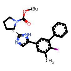 Cc1cc(-c2cnc([C@@H]3CCCN3C(=O)OC(C)(C)C)[nH]2)cc(-c2ccccc2)c1I